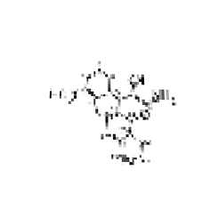 Cc1c(C(=O)O)cccc1C1C(C#N)=C(N)Oc2c1ccc1cnccc21